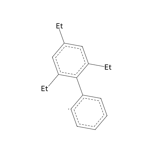 CCc1cc(CC)c(-c2[c]cccc2)c(CC)c1